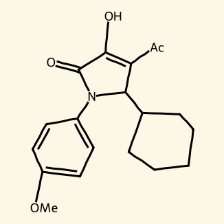 COc1ccc(N2C(=O)C(O)=C(C(C)=O)C2C2CCCCC2)cc1